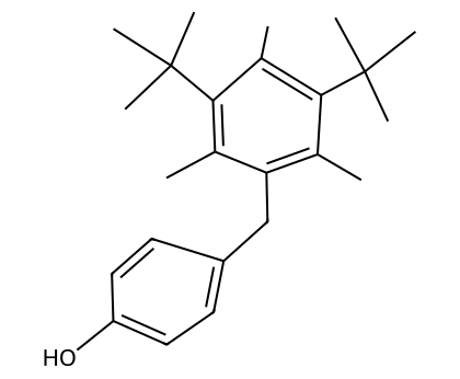 Cc1c(Cc2ccc(O)cc2)c(C)c(C(C)(C)C)c(C)c1C(C)(C)C